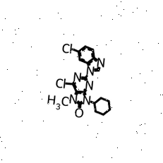 Cn1c(=O)n(C2CCCCC2)c2nc(-n3cnc4ccc(Cl)cc43)nc(Cl)c21